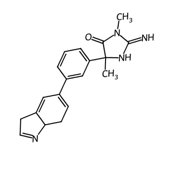 CN1C(=N)NC(C)(c2cccc(C3=CCC4N=CCC4=C3)c2)C1=O